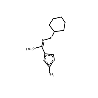 CCOC(=O)C(=NOC1CCCCC1)c1csc(N)n1